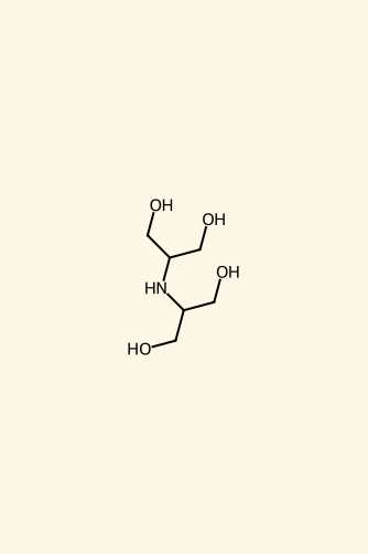 OCC(CO)NC(CO)CO